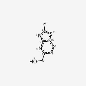 Cc1nc2nc(CO)ccc2s1